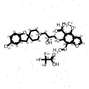 COc1c(C(C)=O)c(OC[C@@H](O)CN2CCC3(CC2)Cc2cc(Cl)ccc2O3)c(OC)c2occc12.O=C(O)C(F)(F)F